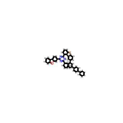 c1ccc(-c2ccc(-c3cccc(-c4ccc5sc6cccc(-c7nc(-c8ccccc8)nc(-c8ccc9c(c8)oc8ccccc89)n7)c6c5c4)c3)cc2)cc1